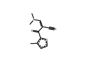 Cc1ccsc1C(=O)/C(C#N)=C\N(C)C